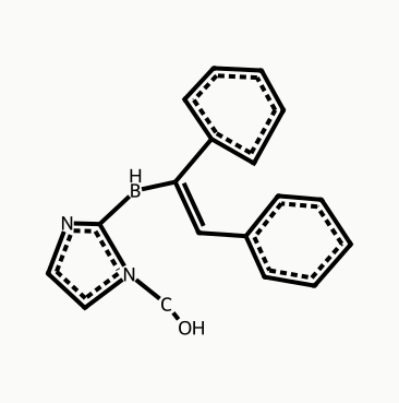 OCn1ccnc1BC(=Cc1ccccc1)c1ccccc1